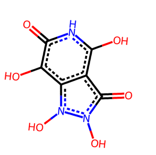 O=c1[nH]c(O)c2c(=O)n(O)n(O)c2c1O